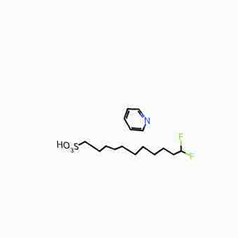 O=S(=O)(O)CCCCCCCCCCC(F)F.c1ccncc1